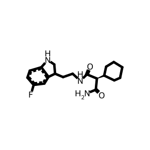 NC(=O)[C@@H](C(=O)NCCC1CNc2ccc(F)cc21)C1CCCCC1